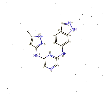 Cc1cc(Nc2cncc(Nc3ccc4cn[nH]c4c3)n2)n[nH]1